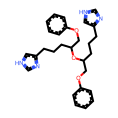 c1ccc(OCC(CCCc2c[nH]cn2)OC(CCCc2c[nH]cn2)COc2ccccc2)cc1